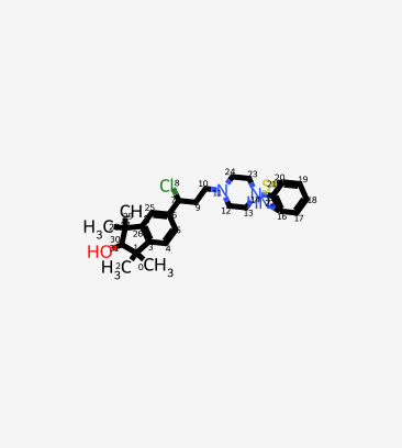 CC1(C)c2ccc(C(Cl)CCN3CCN(c4c5cccc4SN5)CC3)cc2C(C)(C)C1O